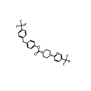 O=C(Oc1ccc(Cc2ccc(C(F)(F)F)cc2)cc1)N1CCN(c2ccc(C(F)(F)F)cn2)CC1